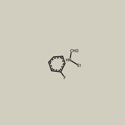 CCNC=O.Fc1ccccc1